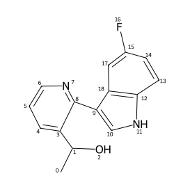 CC(O)c1cccnc1-c1c[nH]c2ccc(F)cc12